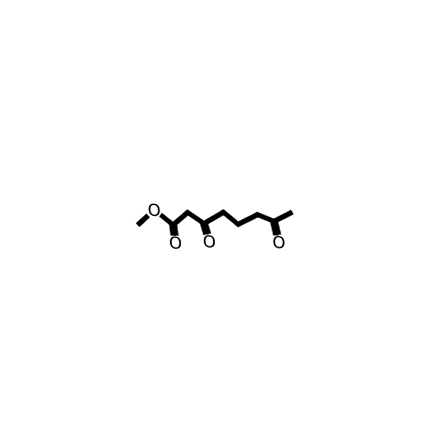 COC(=O)CC(=O)CCCC(C)=O